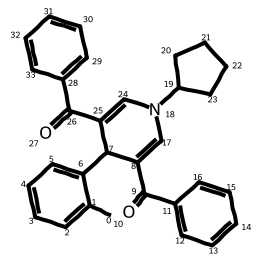 Cc1ccccc1C1C(C(=O)c2ccccc2)=CN(C2CCCC2)C=C1C(=O)c1ccccc1